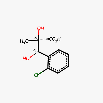 C[C@](O)(C(=O)O)[C@@H](O)c1ccccc1Cl